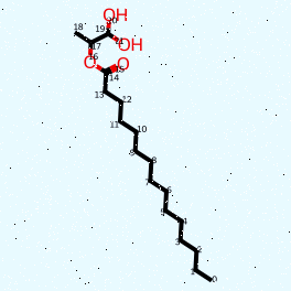 CCCCCCCCCCCCCCC(=O)OC(C)C(O)O